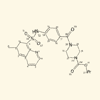 CC1C=c2cccnc2=C(S(=O)(=O)Nc2ccc(C(=O)N3CCN(C(=O)OC(C)C)CC3)cc2)C1